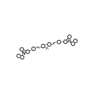 CC1(C)c2cc(/C=C/c3ccc(-c4ccc5c(c4)c4ccccc4n5-c4cccc5ccccc45)cc3)ccc2-c2ccc(/C=C/c3ccc(-c4ccc5c(c4)c4ccccc4n5-c4cccc5ccccc45)cc3)cc21